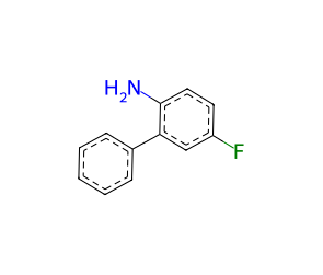 Nc1ccc(F)cc1-c1ccccc1